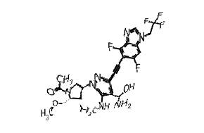 CNc1c(C(N)O)c(C#Cc2c(F)cc3c(ncn3CC(F)(F)F)c2F)nn1[C@H]1C[C@H](COC)N(C(C)=O)C1